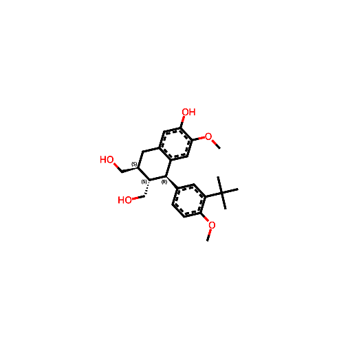 COc1cc2c(cc1O)C[C@H](CO)[C@@H](CO)[C@@H]2c1ccc(OC)c(C(C)(C)C)c1